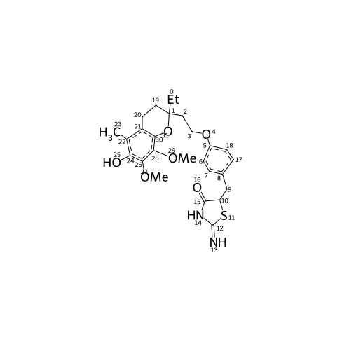 CCC1(CCOc2ccc(CC3SC(=N)NC3=O)cc2)CCc2c(C)c(O)c(OC)c(OC)c2O1